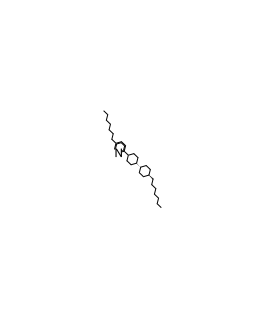 CCCCCCCc1ccc(C2CCC([C@H]3CC[C@H](CCCCCCC)CC3)CC2)nc1